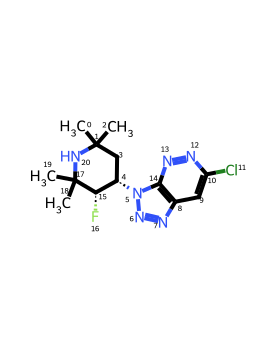 CC1(C)C[C@H](n2nnc3cc(Cl)nnc32)[C@H](F)C(C)(C)N1